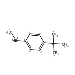 CBc1ccc(C(C)(C(F)(F)F)C(F)(F)F)cc1